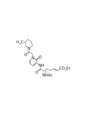 CCOC(=O)/C=C/CC[C@H](NC(C)=O)C(=O)Nc1cccn(CC(=O)N2CCCC(C)C2)c1=O